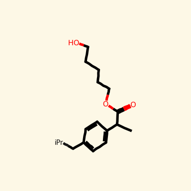 CC(C)Cc1ccc(C(C)C(=O)OCCCCCO)cc1